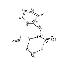 Br.O=C1CNCCN1Cc1ccccc1